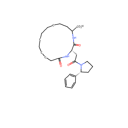 O=C1CCCCCCCCCCC(C(=O)O)NC(=O)[C@H](CC(=O)N2CCC[C@@H]2c2ccccc2)N1